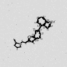 CC1CCCN1CCc1cc2ccc(-c3cccc4[nH]ccc34)cc2o1